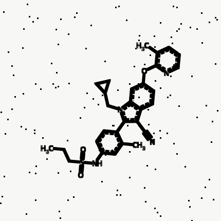 CCCS(=O)(=O)Nc1ccc(-c2c(C#N)c3ccc(Oc4ncccc4C)cc3n2CC2CC2)c(C)c1